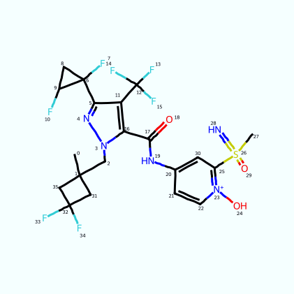 CC1(Cn2nc(C3(F)CC3F)c(C(F)(F)F)c2C(=O)Nc2cc[n+](O)c(S(C)(=N)=O)c2)CC(F)(F)C1